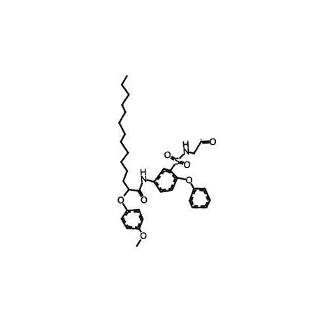 CCCCCCCCCCCCC(Oc1ccc(OC)cc1)C(=O)Nc1ccc(Oc2ccccc2)c(S(=O)(=O)NC[C]=O)c1